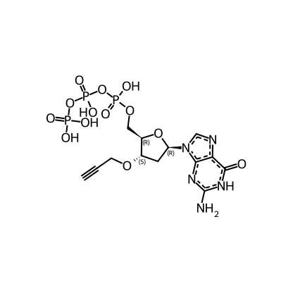 C#CCO[C@H]1C[C@H](n2cnc3c(=O)[nH]c(N)nc32)O[C@@H]1COP(=O)(O)OP(=O)(O)OP(=O)(O)O